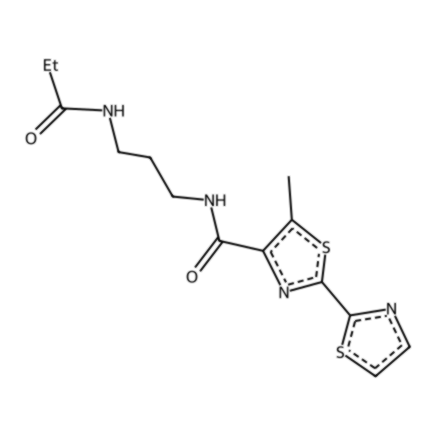 CCC(=O)NCCCNC(=O)c1nc(-c2nccs2)sc1C